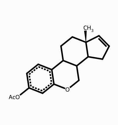 CC(=O)Oc1ccc2c(c1)OCC1C2CC[C@]2(C)C=CCC12